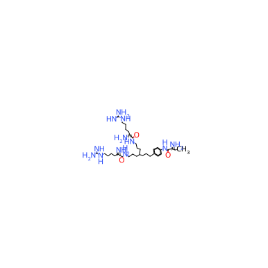 CC[C@H](N)C(=O)Nc1ccc(CCCC(CCCNC(=O)[C@H](N)CCCCNC(=N)N)CCCNC(=O)[C@H](N)CCCCNC(=N)N)cc1